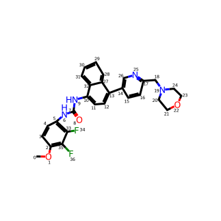 COc1ccc(NC(=O)Nc2ccc(-c3ccc(CN4CCOCC4)nc3)c3ccccc23)c(F)c1F